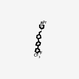 CCC[Si@H]1CC[C@H](CCC2CCC(c3ccc(-c4ccc(C(F)(F)F)c(F)c4)cc3)CC2)CC1